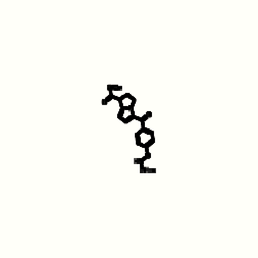 CCCCCCNOc1ccc(C(=O)c2ccc3n2CCC3C(=O)OC)cc1